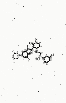 Cc1cc(N2C[C@@H](C)O[C@@H](C)C2)cc2[nH]c(-c3c(NC[C@@H](O)c4cccc(Cl)c4)cc[nH]c3=O)nc12